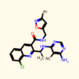 CC(C)c1cc(CNC(=O)c2cc3cccc(Cl)c3nc2[C@H](C)Nc2ncnc(N)c2C#N)on1